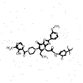 CCc1c(N2CCN(C(=O)c3ncnc(C)c3O)CC2)c(=O)c2oc(-c3ccnc(OC)c3)nc2n1CC(=O)Nc1ccc(C(F)(F)F)cc1Cl